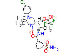 CC(C)[C@@H](NC(=O)c1cccc(S(N)(=O)=O)c1)C(=O)N1CCN(c2ccc(Cl)cc2)C(C)(C)C1.O=C(O)C(F)(F)F